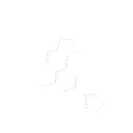 Cc1nc(-n2cccn2)cc2c3c(ccc12)CCO3